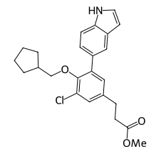 COC(=O)CCc1cc(Cl)c(OCC2CCCC2)c(-c2ccc3[nH]ccc3c2)c1